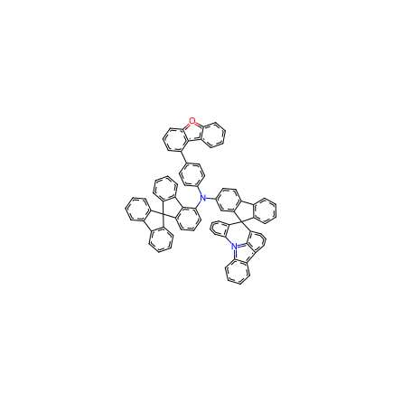 c1ccc2c(c1)-c1ccccc1C21c2ccccc2-c2c(N(c3ccc(-c4cccc5oc6ccccc6c45)cc3)c3ccc4c(c3)C3(c5ccccc5-4)c4ccccc4-n4c5ccccc5c5cccc3c54)cccc21